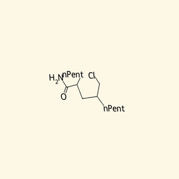 CCCCCC(CCl)CC(CCCCC)C(N)=O